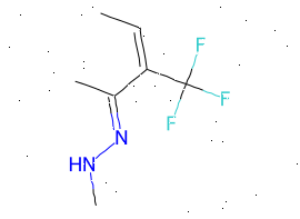 C/C=C(\C(C)=N\NC)C(F)(F)F